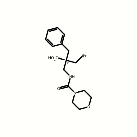 CC(C)C[C@](CNC(=O)N1CCOCC1)(Cc1ccccc1)C(=O)O